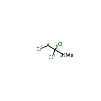 CNC(Cl)(Cl)CCl